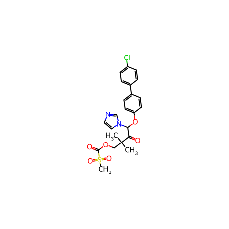 CC(C)(COC(=O)S(C)(=O)=O)C(=O)C(Oc1ccc(-c2ccc(Cl)cc2)cc1)n1ccnc1